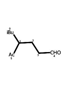 CCC(C)C(CCC=O)C(C)=O